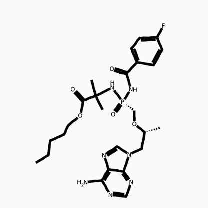 CCCCCOC(=O)C(C)(C)N[P@@](=O)(CO[C@H](C)Cn1cnc2c(N)ncnc21)NC(=O)c1ccc(F)cc1